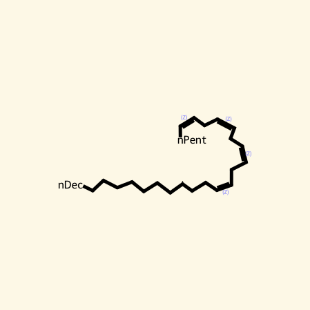 CCCCC/C=C\C/C=C\C/C=C\C/C=C\CC[CH]CCCCCCCCCCCCCCCCC